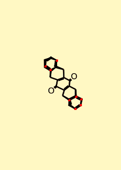 O=C1C2=C(C(=O)C3=C1C1c4ccccc4C3c3ccccc31)C1c3ccccc3C2c2ccccc21